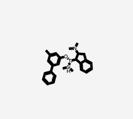 Cc1cc([O][Ti]([CH]2c3ccccc3CC2N(C)C)[SiH](C)C)cc(-c2ccccc2)c1